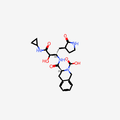 O=C1NCCC1C[C@H](NC(=O)[C@@H]1Cc2ccccc2CN1C(=O)O)C(O)C(=O)NC1CC1